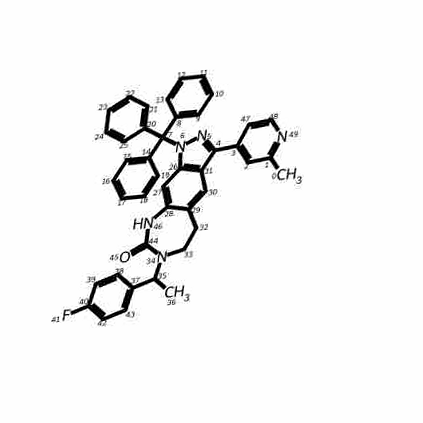 Cc1cc(-c2nn(C(c3ccccc3)(c3ccccc3)c3ccccc3)c3cc4c(cc23)CCN(C(C)c2ccc(F)cc2)C(=O)N4)ccn1